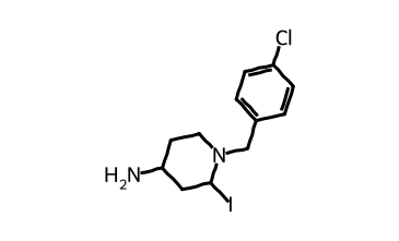 NC1CCN(Cc2ccc(Cl)cc2)C(I)C1